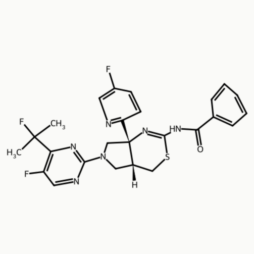 CC(C)(F)c1nc(N2C[C@H]3CSC(NC(=O)c4ccccc4)=N[C@@]3(c3ccc(F)cn3)C2)ncc1F